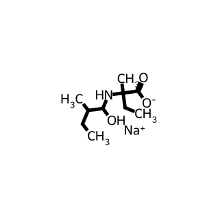 CCC(C)C(O)NC(C)(CC)C(=O)[O-].[Na+]